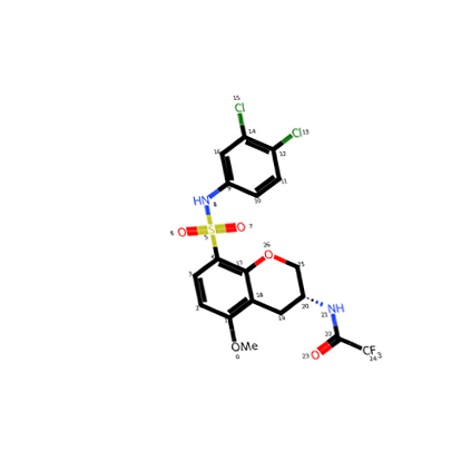 COc1ccc(S(=O)(=O)Nc2ccc(Cl)c(Cl)c2)c2c1C[C@@H](NC(=O)C(F)(F)F)CO2